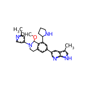 Cc1cc(N2CCc3cc(-c4cnc5[nH]cc(C)c5c4)cc(C4CCCN4)c3[C@@H]2OC=O)ccn1